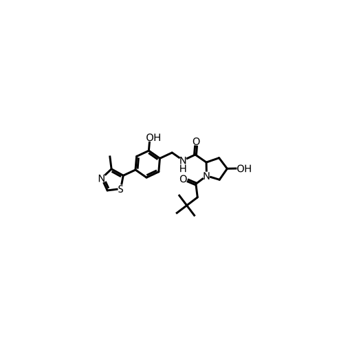 Cc1ncsc1-c1ccc(CNC(=O)C2CC(O)CN2C(=O)CC(C)(C)C)c(O)c1